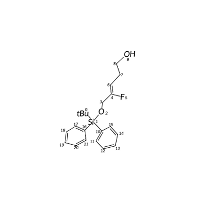 CC(C)(C)[Si](OC/C(F)=C/CCO)(c1ccccc1)c1ccccc1